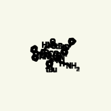 CC(C)(C)OC(=O)NCCCCC(OC(=O)NC(C(=O)O)N(C(=O)CN(CCCCN)C(=O)Nc1ccc(OCc2ccccc2)cc1)c1ccc(C(C)(C)C)cc1)C1c2ccccc2-c2ccccc21